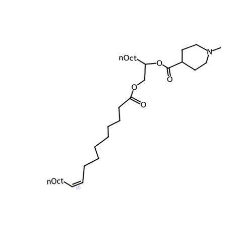 CCCCCCCC/C=C\CCCCCCCC(=O)OCC(CCCCCCCC)OC(=O)C1CCN(C)CC1